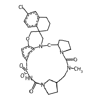 CN1CC2CCN(C2)C(=O)NS(=O)(=O)c2ccc3c(c2)N(CC2CCCN2C1=O)CC1(CCCc2cc(Cl)ccc21)CO3